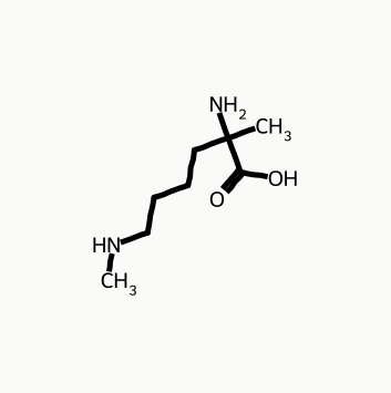 CNCCCCC(C)(N)C(=O)O